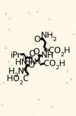 CC(C)C[C@H](NC(=O)[C@@H](N)CC(=O)O)C(=O)N[C@@H](CC(=O)O)C(=O)N[C@@H](CCC(N)=O)C(=O)O